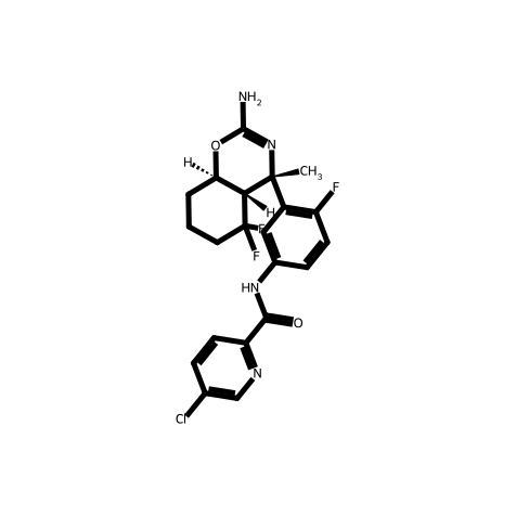 C[C@]1(c2cc(NC(=O)c3ccc(Cl)cn3)ccc2F)N=C(N)O[C@@H]2CCCC(F)(F)[C@H]21